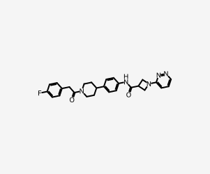 O=C(Nc1ccc(C2CCN(C(=O)Cc3ccc(F)cc3)CC2)cc1)C1CN(c2cccnn2)C1